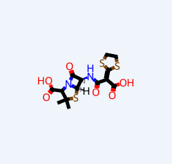 CC1(C)S[C@@H]2[C@H](NC(=O)C(C(=O)O)=C3SCCS3)C(=O)N2C1C(=O)O